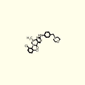 CN1CN(c2c(Cl)cccc2Cl)C(=O)c2cnc(Nc3ccc(CN4CCOCC4)cc3)nc21